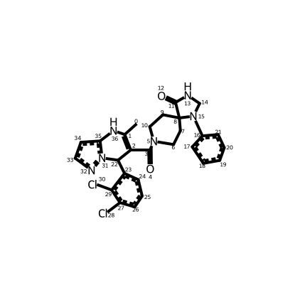 CC1=C(C(=O)N2CCC3(CC2)C(=O)NCN3c2ccccc2)C(c2cccc(Cl)c2Cl)n2nccc2N1